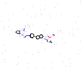 COC(=O)NCC(=O)N1C(c2nc3ccc4cc(-c5ccc(-c6cnc([C@@H]7[C@H]8CC[C@H](C8)N7C(=O)CNC=O)[nH]6)cc5)ccc4c3[nH]2)CC2C1[C@@H]2C